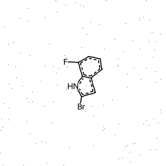 Fc1cccc2cc(Br)[nH]c12